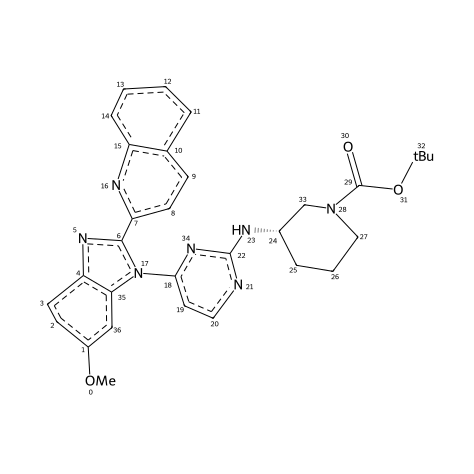 COc1ccc2nc(-c3ccc4ccccc4n3)n(-c3ccnc(N[C@H]4CCCN(C(=O)OC(C)(C)C)C4)n3)c2c1